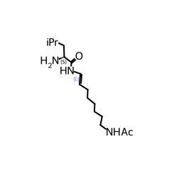 CC(=O)NCCCCCC/C=C/NC(=O)[C@@H](N)CC(C)C